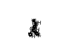 O=C(N[C@@H](Cc1ccccc1)C(=O)Nc1ccc(S(=O)(=O)NC2CCC2)cc1)c1ccc(F)cn1